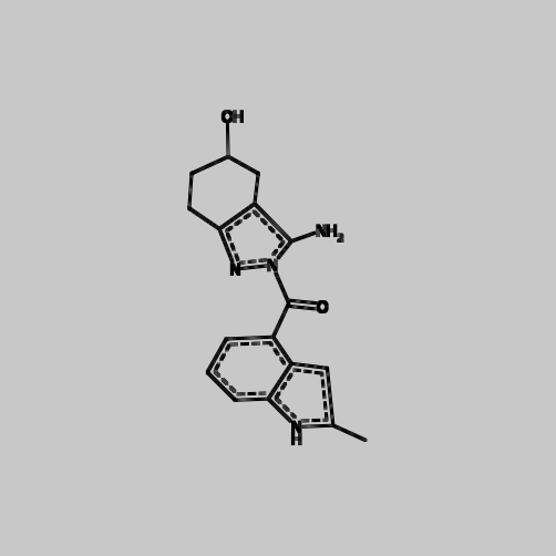 Cc1cc2c(C(=O)n3nc4c(c3N)CC(O)CC4)cccc2[nH]1